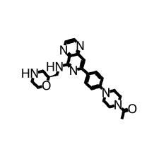 CC(=O)N1CCN(c2ccc(-c3cc4nccnc4c(NC[C@@H]4CNCCO4)n3)cc2)CC1